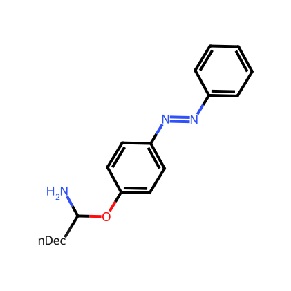 CCCCCCCCCCC(N)Oc1ccc(N=Nc2ccccc2)cc1